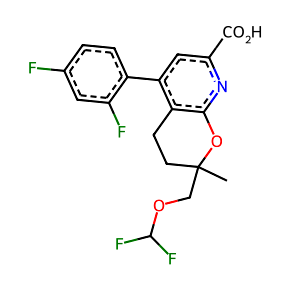 CC1(COC(F)F)CCc2c(-c3ccc(F)cc3F)cc(C(=O)O)nc2O1